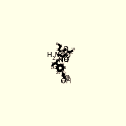 CCCN1C(=O)[N+]([O-])(CCC)C(=O)C(NCC(CC)c2ccc(SCC(=O)O)cc2)=C1N